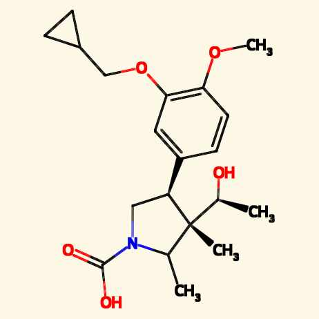 COc1ccc([C@@H]2CN(C(=O)O)C(C)[C@@]2(C)[C@H](C)O)cc1OCC1CC1